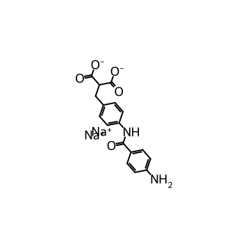 Nc1ccc(C(=O)Nc2ccc(CC(C(=O)[O-])C(=O)[O-])cc2)cc1.[Na+].[Na+]